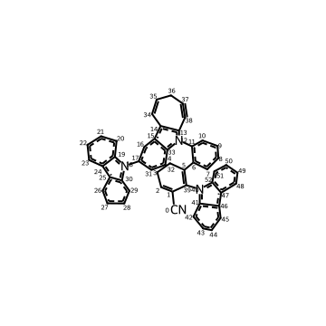 N#CC1=CCCC(c2ccccc2-n2c3c(c4cc(-n5c6ccccc6c6ccccc65)ccc42)C=CCC#C3)=C1n1c2ccccc2c2ccccc21